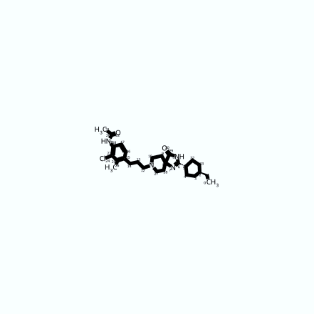 CC[C@H]1CC[C@H](C2=NC3(CCN(CCCc4ccc(NC(C)=O)c(Cl)c4C)CC3)C(=O)N2)CC1